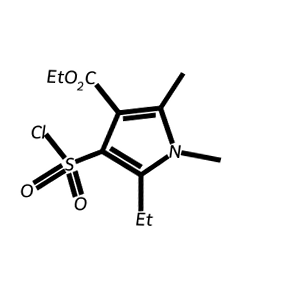 CCOC(=O)c1c(S(=O)(=O)Cl)c(CC)n(C)c1C